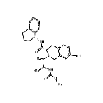 CC(C)(C)OC(=O)N[C@H](C(=O)N1Cc2cc(O)ccc2C[C@H]1C(=O)N[C@@H]1CCCc2ccccc21)C(C)(C)C